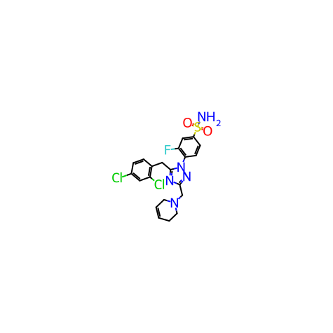 NS(=O)(=O)c1ccc(-n2nc(CN3CC=CCC3)nc2Cc2ccc(Cl)cc2Cl)c(F)c1